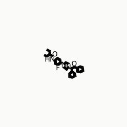 CCC(CC)C(=O)Nc1ccc(N2CCN(C(C(=O)c3ccccc3)c3ccccc3)CC2)c(F)c1